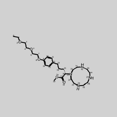 CCOCCOCCOc1ccc(CCC[C@@H](C(=O)OC)N2CCNCCNCCNCC2)cc1